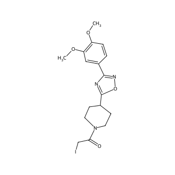 COc1ccc(-c2noc(C3CCN(C(=O)CI)CC3)n2)cc1OC